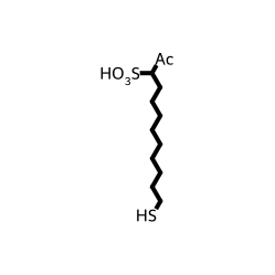 CC(=O)C(CCCCCCCCCS)S(=O)(=O)O